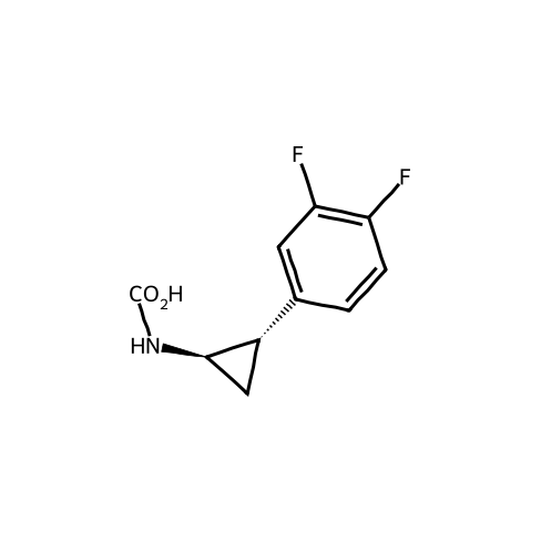 O=C(O)N[C@@H]1C[C@H]1c1ccc(F)c(F)c1